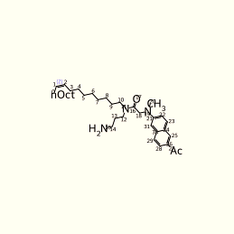 CCCCCCCC/C=C\CCCCCCCCN(CCCN)C(=O)CN(C)c1ccc2cc(C(C)=O)ccc2c1